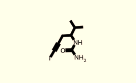 CC(C)C(CC#CI)NC(N)=O